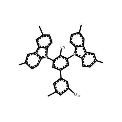 Cc1cc(-c2cc(-n3c4ccc(C)cc4c4cc(C)ccc43)c(C#N)c(-n3c4ccc(C)cc4c4cc(C)ccc43)c2)cc(C(F)(F)F)c1